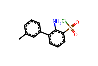 Cc1cccc(-c2cccc(S(=O)(=O)Cl)c2N)c1